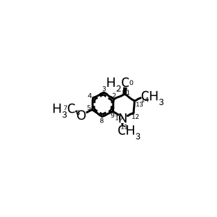 C=C1c2ccc(OC)cc2N(C)CC1C